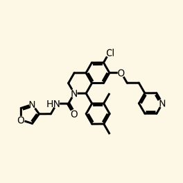 Cc1ccc(C2c3cc(OCCc4cccnc4)c(Cl)cc3CCN2C(=O)NCc2cocn2)c(C)c1